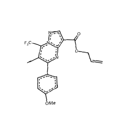 C=CCOC(=O)c1cnn2c(C(F)(F)F)c(C)c(-c3ccc(OC)cc3)nc12